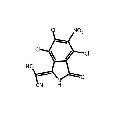 N#CC(C#N)=C1NC(=O)c2c(Cl)c([N+](=O)[O-])c(Cl)c(Cl)c21